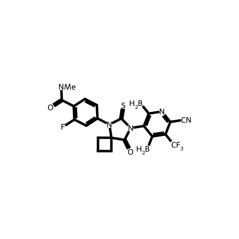 Bc1nc(C#N)c(C(F)(F)F)c(B)c1N1C(=O)C2(CCC2)N(c2ccc(C(=O)NC)c(F)c2)C1=S